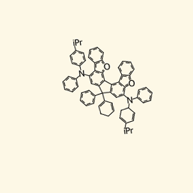 CC(C)C1=CCC(N(c2ccccc2)c2cc3c(c4c2oc2ccccc24)-c2c(cc(N(c4ccccc4)c4ccc(C(C)C)cc4)c4c2oc2ccccc24)C3(C2=CCCC=C2)c2ccccc2)C=C1